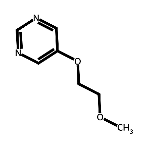 COCCOc1cncnc1